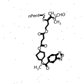 CCCCCSS/C(CCOC(=O)CCC(=O)OC1CCC(N(C)C(=O)c2ccc3nonc3c2)CC1)=C(\C)N(C)C=O